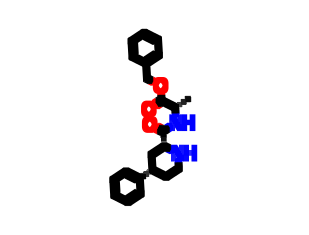 C[C@H](NC(=O)[C@H]1C[C@@H](c2ccccc2)CCN1)C(=O)OCc1ccccc1